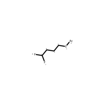 CC(=O)SCCCC(F)F